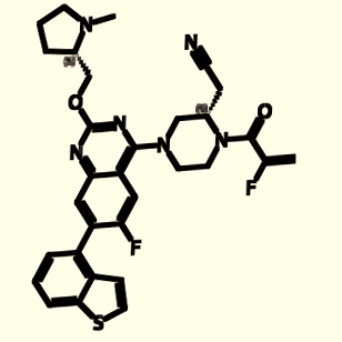 C=C(F)C(=O)N1CCN(c2nc(OC[C@@H]3CCCN3C)nc3cc(-c4cccc5sccc45)c(F)cc23)C[C@@H]1CC#N